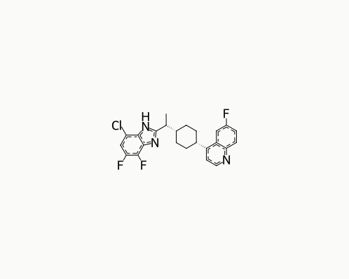 CC(c1nc2c(F)c(F)cc(Cl)c2[nH]1)[C@H]1CC[C@@H](c2ccnc3ccc(F)cc32)CC1